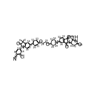 CC1(C)C(=O)N(c2ccc(C#N)c(Cl)c2)c2ccc(-c3ccc(OCCOC4CCN(c5ccc6c(c5)C(=O)N(C5CCC(=O)NC5=O)C6=O)CC4)cc3)cc21